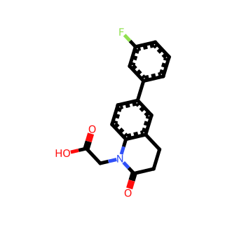 O=C(O)CN1C(=O)CCc2cc(-c3cccc(F)c3)ccc21